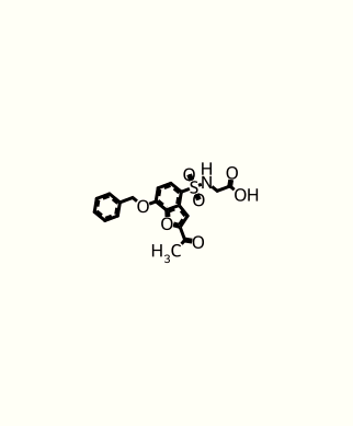 CC(=O)c1cc2c(S(=O)(=O)NCC(=O)O)ccc(OCc3ccccc3)c2o1